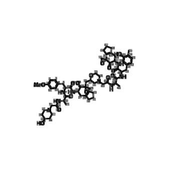 COc1ccc(CC(NC(=O)C(C)NC(=O)CN2CCC(O)CC2)C(=O)NC(CC2=CCCC2)C(=O)C2(CC3CN(CC(=O)NC(C)C(=O)NC(Cc4ccc(C)c(O)c4)C(=O)NC(CC4=CCCC4)C(=O)C4(C)CO4)CCO3)CO2)cc1